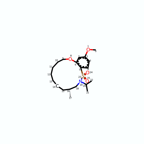 COc1ccc2c(c1)OCCCCCCC[C@@H](C)CN(C(C)C)S2(=O)=O